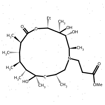 CC[C@H]1OC(=O)[C@H](C)[C@@H](C)[C@H](C)[C@@H](C)[C@](C)(O)C[C@@H](C)CN(CCC(=O)OC)[C@H](C)[C@@H](O)[C@]1(C)O